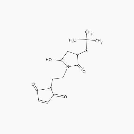 CC(C)(C)SC1CC(O)N(CCN2C(=O)C=CC2=O)C1=O